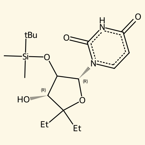 CCC1(CC)O[C@@H](n2ccc(=O)[nH]c2=O)C(O[Si](C)(C)C(C)(C)C)[C@H]1O